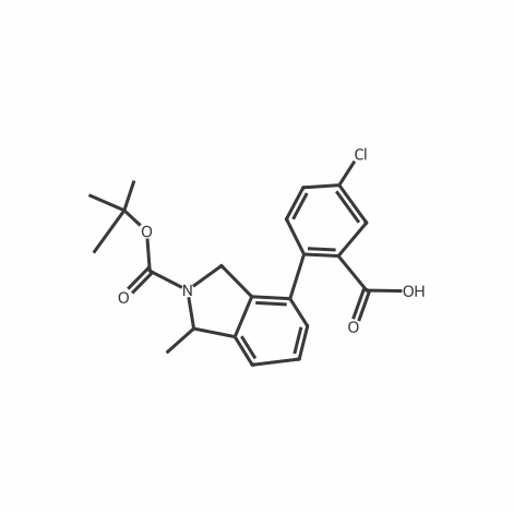 CC1c2cccc(-c3ccc(Cl)cc3C(=O)O)c2CN1C(=O)OC(C)(C)C